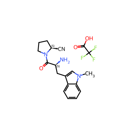 Cn1cc(C[C@H](N)C(=O)N2CCC[C@H]2C#N)c2ccccc21.O=C(O)C(F)(F)F